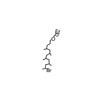 CCOCOCCCC(C)CC(C)CC(C)CC(C)CC(C)Br